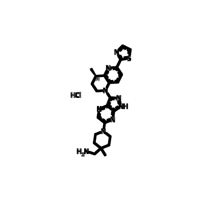 C[C@@H]1CCN(c2n[nH]c3nc(N4CCC(C)(CN)CC4)cnc23)c2ccc(-c3nccs3)nc21.Cl